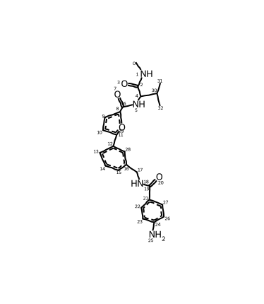 CNC(=O)C(NC(=O)c1ccc(-c2cccc(CNC(=O)c3ccc(N)cc3)c2)o1)C(C)C